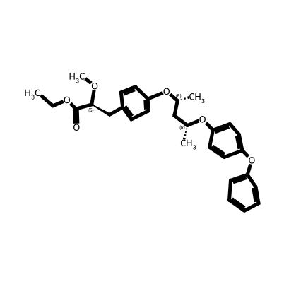 CCOC(=O)[C@H](Cc1ccc(O[C@H](C)C[C@@H](C)Oc2ccc(Oc3ccccc3)cc2)cc1)OC